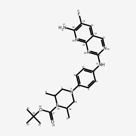 CC1CN(c2ccc(Nc3ncc4cc(F)c(N)nc4n3)cc2)CC(C)N1C(=O)OC(C)(C)C